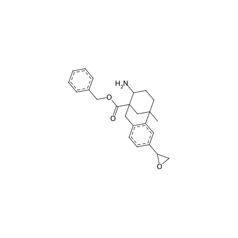 CC12CCC(N)C(C(=O)OCc3ccccc3)(Cc3ccc(C4CO4)cc31)C2